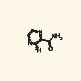 [2H]c1nccnc1C(N)=O